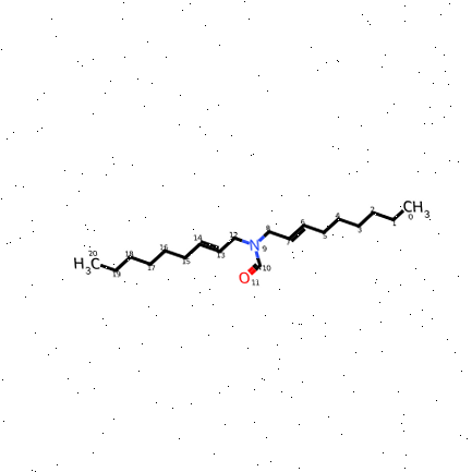 CCCCCCC=CCN([C]=O)CC=CCCCCCC